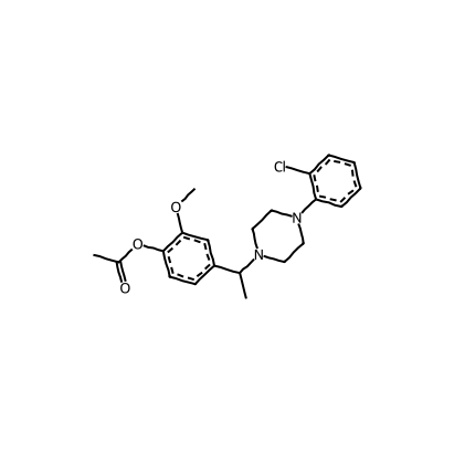 COc1cc(C(C)N2CCN(c3ccccc3Cl)CC2)ccc1OC(C)=O